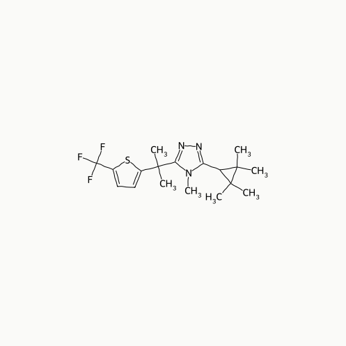 Cn1c(C2C(C)(C)C2(C)C)nnc1C(C)(C)c1ccc(C(F)(F)F)s1